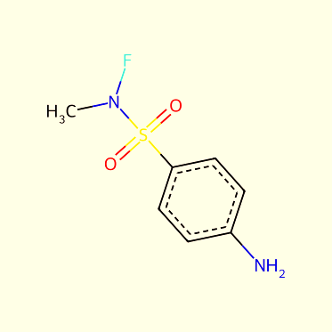 CN(F)S(=O)(=O)c1ccc(N)cc1